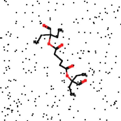 CCC(C=O)(CC)OC(=O)CCCC(=O)OC(C=O)(CC)CC